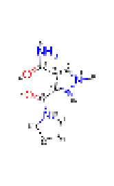 Cn1cc(C(N)=O)c(C(=O)N2CCCC2)n1